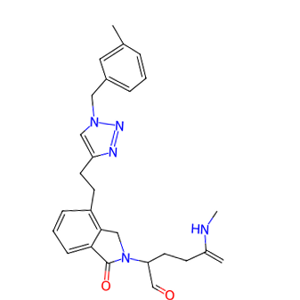 C=C(CCC(C=O)N1Cc2c(CCc3cn(Cc4cccc(C)c4)nn3)cccc2C1=O)NC